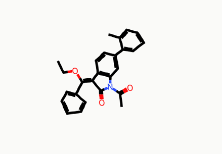 CCOC(=C1C(=O)N(C(C)=O)c2cc(-c3ccccc3C)ccc21)c1ccccc1